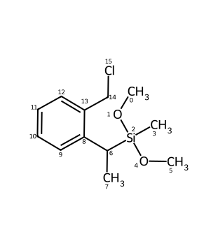 CO[Si](C)(OC)C(C)c1ccccc1CCl